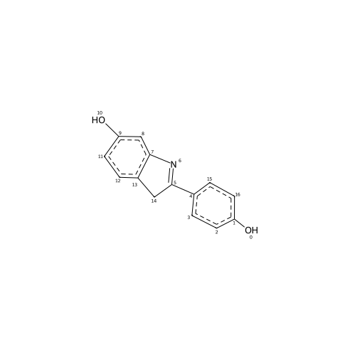 Oc1ccc(C2=Nc3cc(O)ccc3C2)cc1